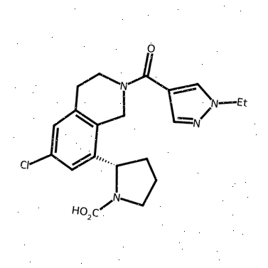 CCn1cc(C(=O)N2CCc3cc(Cl)cc([C@@H]4CCCN4C(=O)O)c3C2)cn1